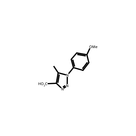 COc1ccc(-n2nnc(C(=O)O)c2C)cc1